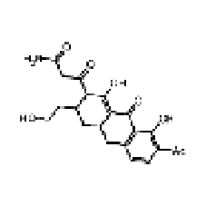 CC(=O)c1ccc2c(c1O)C(=O)C1=C(O)C(C(=O)CC(N)=O)C(CCO)CC1C2